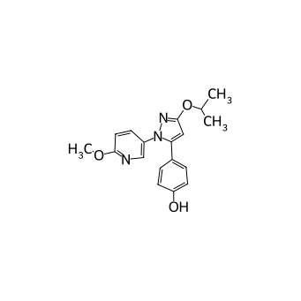 COc1ccc(-n2nc(OC(C)C)cc2-c2ccc(O)cc2)cn1